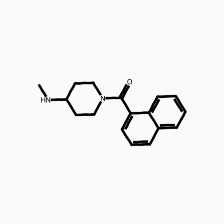 CNC1CCN(C(=O)c2cccc3ccccc23)CC1